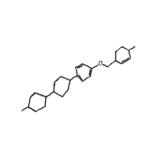 CC1C=CC(COc2ccc(C3CCC(C4CCC(C)CC4)CC3)cc2)CC1